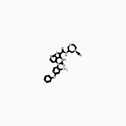 Cc1cc(Oc2ccccc2)ccc1N1C(=O)Nc2c(C(=O)NC3COCCN(C#N)C3)sc3nccc1c23